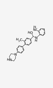 Cc1cc(C(O)Nc2ccccc2N)ccc1-c1ccc(N2CCNCC2)cc1